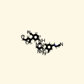 Cc1cc(/C=C/C#N)cc(C)c1Nc1nc(Nc2ccc(C#N)c(-c3coc(C=O)c3)c2)ncc1N